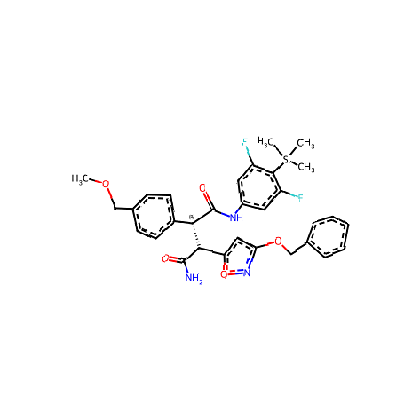 COCc1ccc([C@H](C(=O)Nc2cc(F)c([Si](C)(C)C)c(F)c2)C(C(N)=O)c2cc(OCc3ccccc3)no2)cc1